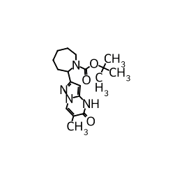 Cc1cn2nc(C3CCCCCN3C(=O)OC(C)(C)C)cc2[nH]c1=O